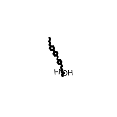 C=CC(O)NCCCc1ccc(CCc2ccc(C3CCC(CCCCC)CC3)cc2)cc1